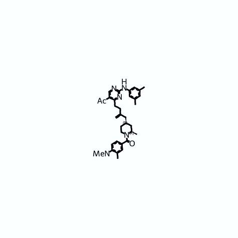 C=C(CCc1nc(Nc2cc(C)cc(C)c2)ncc1C(C)=O)C[C@@H]1CCN(C(=O)c2ccc(NC)c(C)c2)[C@H](C)C1